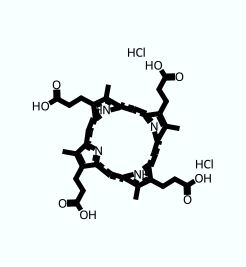 CC1=C(CCC(=O)O)c2cc3[nH]c(cc4nc(cc5[nH]c(cc1n2)c(CCC(=O)O)c5C)C(CCC(=O)O)=C4C)c(CCC(=O)O)c3C.Cl.Cl